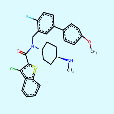 CN[C@H]1CC[C@H](N(Cc2cc(-c3ccc(OC)cc3)ccc2F)C(=O)c2sc3ccccc3c2Cl)CC1